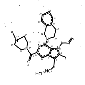 C=CCn1c(C)c(CC#N)c2cc(C(=O)N3CCN(C)CC3)nc(N3CCc4ccccc4C3)c21.Cl